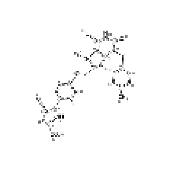 CCn1c(COc2ccc(-n3[nH]c(C(=O)O)cc3=O)nn2)nc2c1c(=O)[nH]c(=O)n2Cc1ccc(C)cc1